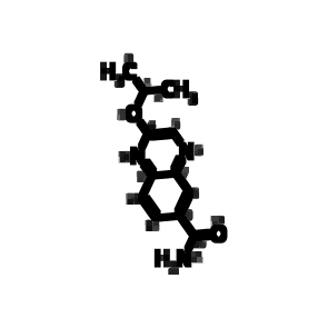 CC(C)Oc1cnc2cc(C(N)=O)ccc2n1